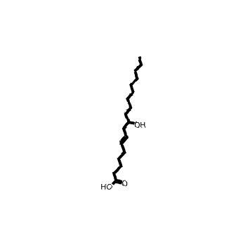 CCCCCCCCCC(O)CC=CCCCCC(=O)O